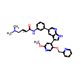 COc1cc(-c2c[nH]c3ncc(-c4cccc(NC(=O)/C=C/CN(C)C)c4)cc23)c(OCc2ccccn2)cn1